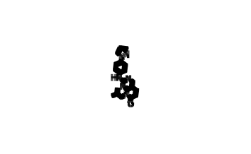 C=C(C)Cn1c(=O)ccc2cnc(Nc3ccc(-n4cccn4)cc3)nc21